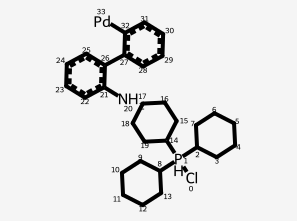 Cl[PH](C1CCCCC1)(C1CCCCC1)C1CCCCC1.Nc1ccccc1-c1cccc[c]1[Pd]